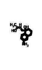 CB(O)NCC1(O)CCCc2cc(N)ccc21